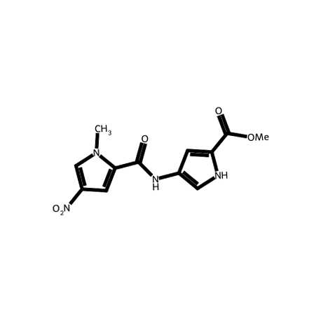 COC(=O)c1cc(NC(=O)c2cc([N+](=O)[O-])cn2C)c[nH]1